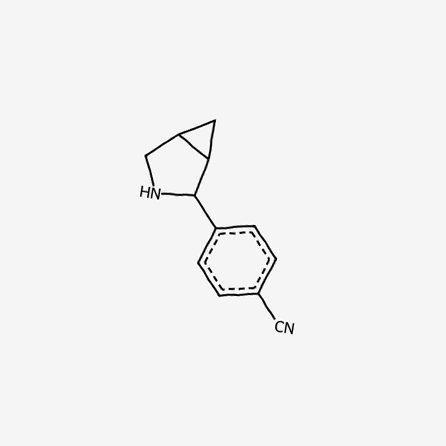 N#Cc1ccc(C2NCC3CC32)cc1